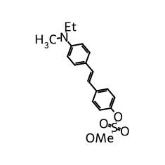 CCN(C)c1ccc(/C=C/c2ccc(OS(=O)(=O)OC)cc2)cc1